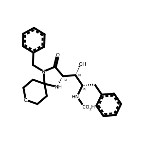 O=C(O)N[C@@H](Cc1ccccc1)[C@@H](O)[C@@H]1NC2(CCOCC2)N(Cc2ccccc2)C1=O